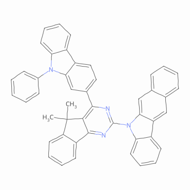 CC1(C)c2ccccc2-c2nc(-n3c4ccccc4c4cc5ccccc5cc43)nc(-c3ccc4c5ccccc5n(-c5ccccc5)c4c3)c21